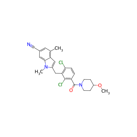 COC1CCN(C(=O)c2ccc(Cl)c(Cc3cc4c(C)cc(C#N)cc4n3C)c2Cl)CC1